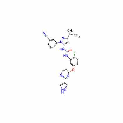 CC(C)c1cc(NC(=O)Nc2cc(Oc3ccnc(-c4cn[nH]c4)n3)ccc2F)n(-c2cccc(C#N)c2)n1